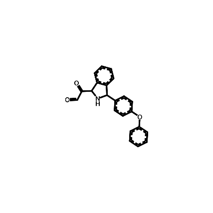 O=CC(=O)C1NC(c2ccc(Oc3ccccc3)cc2)c2ccccc21